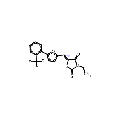 CCN1C(=O)/C(=C/c2ccc(-c3ccccc3C(F)(F)F)o2)SC1=S